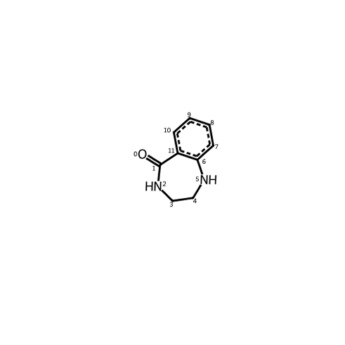 O=C1NCCNc2ccccc21